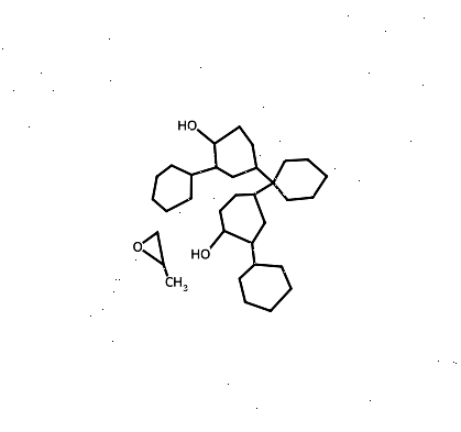 CC1CO1.OC1CCC(C2(C3CCC(O)C(C4CCCCC4)C3)CCCCC2)CC1C1CCCCC1